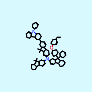 C=CC1C=CC(OC2CCC(C3(C4CC=CCC4)C4CC(N(C5=CC6C(CC5)C5=C(CC(C7CCC8C(C7)C7CCCC=C7N8C7=CC=CCC7)C=C5)C6(C)C)C5C=CC6=C(C5)C(C)(C)C5CCCCC65)C=CC4C4CCCCC43)CC2)CC1